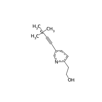 C[Si](C)(C)C#Cc1ccc(CCO)nc1